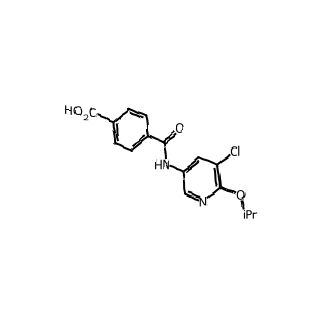 CC(C)Oc1ncc(NC(=O)c2ccc(C(=O)O)cc2)cc1Cl